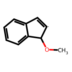 COC1[C]=Cc2ccccc21